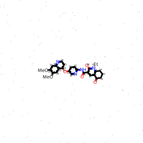 CCn1c2c(cc(C(=O)Nc3ccc(Oc4ccnc5cc(OC)c(OC)cc45)cn3)c1=O)C(=O)CCC2